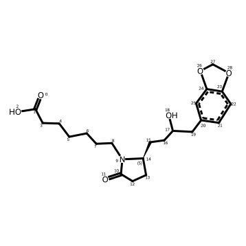 O=C(O)CCCCCCN1C(=O)CC[C@@H]1CCC(O)Cc1ccc2c(c1)OCO2